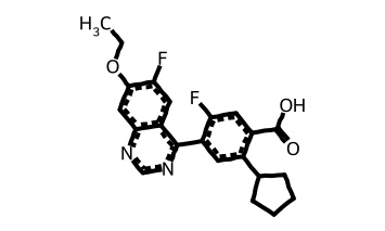 CCOc1cc2ncnc(-c3cc(C4CCCC4)c(C(=O)O)cc3F)c2cc1F